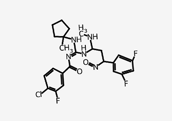 CNC(CC(N=O)c1cc(F)cc(F)c1)N/C(=N\C(=O)c1ccc(Cl)c(F)c1)NC1(C)CCCC1